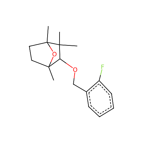 CC12CCC(C)(O1)C(C)(C)C2OCc1ccccc1F